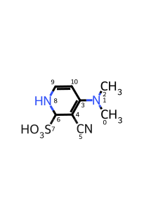 CN(C)C1=C(C#N)C(S(=O)(=O)O)NC=C1